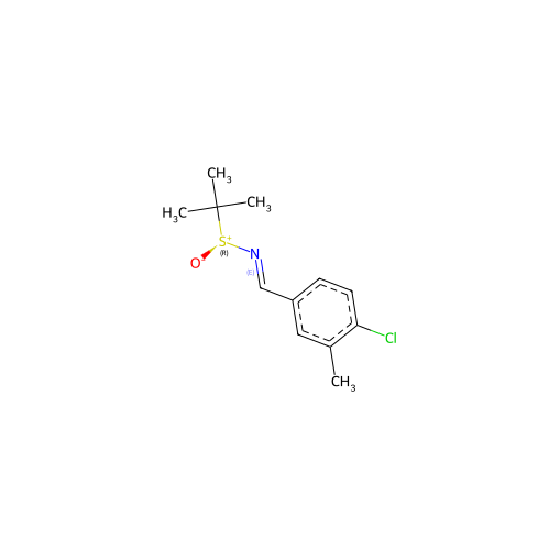 Cc1cc(/C=N/[S@@+]([O-])C(C)(C)C)ccc1Cl